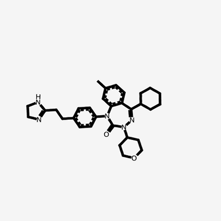 Cc1ccc2c(c1)N(c1ccc(CCC3=NCCN3)cc1)C(=O)N(C1CCOCC1)N=C2C1CCCCC1